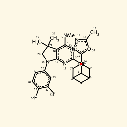 CNc1nc(NC2C3CC2CN(c2nnc(C)o2)C3)nc2c1C(C)(C)CN2c1ccc(F)c(F)c1